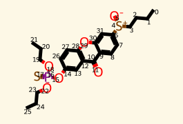 CCCC[S+]([O-])c1ccc2c(=O)c3cc(OP(=S)(OCCC)OCCC)ccc3oc2c1